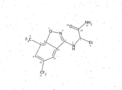 CCC(Nc1noc2c(C(F)(F)F)cc(C(F)(F)F)cc12)C(N)=O